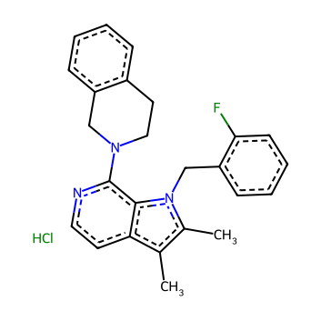 Cc1c(C)n(Cc2ccccc2F)c2c(N3CCc4ccccc4C3)nccc12.Cl